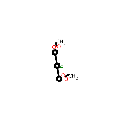 C=CC(=O)Oc1ccc(C#Cc2ccc(C#Cc3ccccc3OC(=O)C=C)c(F)c2)cc1